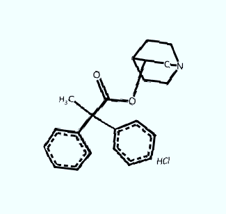 CC(C(=O)OC1CN2CCC1CC2)(c1ccccc1)c1ccccc1.Cl